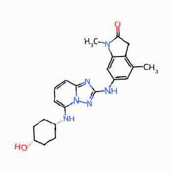 Cc1cc(Nc2nc3cccc(N[C@H]4CC[C@@H](O)CC4)n3n2)cc2c1CC(=O)N2C